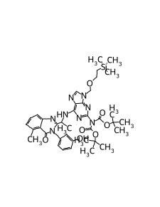 Cc1cccc2nc(C(C)Nc3nc(N(C(=O)OC(C)(C)C)C(=O)OC(C)(C)C)nc4c3ncn4COCC[Si](C)(C)C)n(-c3cccc(O)c3)c(=O)c12